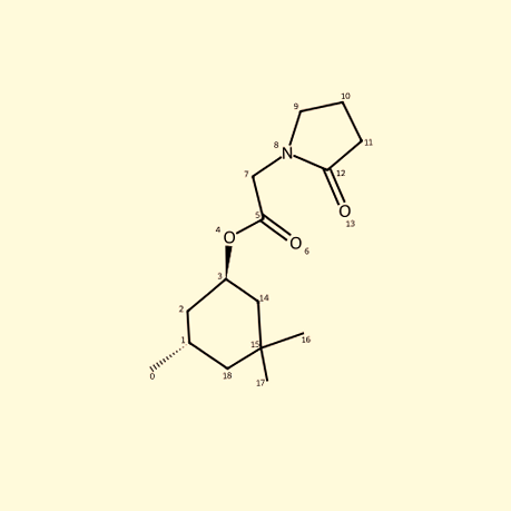 C[C@@H]1C[C@@H](OC(=O)CN2CCCC2=O)CC(C)(C)C1